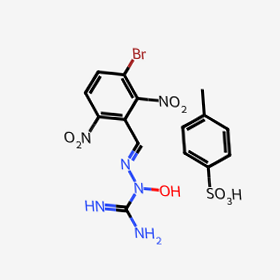 Cc1ccc(S(=O)(=O)O)cc1.N=C(N)N(O)/N=C/c1c([N+](=O)[O-])ccc(Br)c1[N+](=O)[O-]